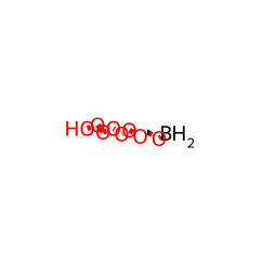 BOCOOOOOOO